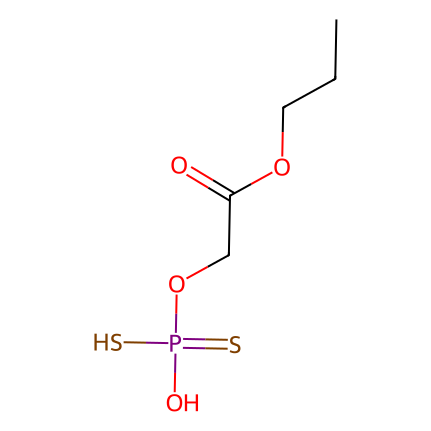 CCCOC(=O)COP(O)(=S)S